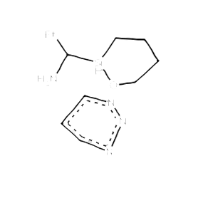 CCC(N)[SiH]1CCCCO1.c1cnnnc1